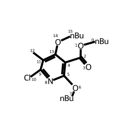 CCCCOC(=O)c1c(OCCCC)nc(Cl)c(C)c1OCCCC